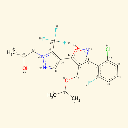 CC(C)OCc1c(-c2c(F)cccc2Cl)noc1-c1cnn(C[C@@H](C)O)c1C(F)(F)F